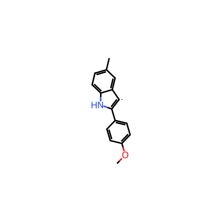 COc1ccc(-c2[c]c3cc(C)ccc3[nH]2)cc1